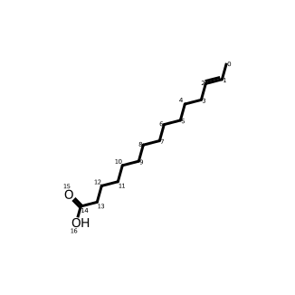 C/C=C/CCCCCCCCCCCC(=O)O